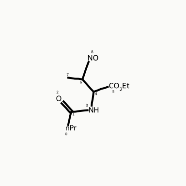 CCCC(=O)NC(C(=O)OCC)C(C)N=O